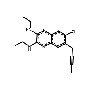 CC#CCc1cc2nc(NCC)c(NCC)nc2cc1Cl